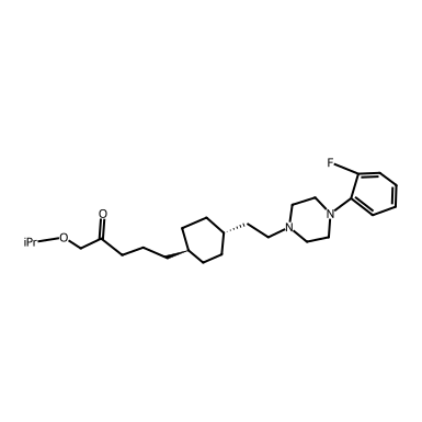 CC(C)OCC(=O)CCC[C@H]1CC[C@H](CCN2CCN(c3ccccc3F)CC2)CC1